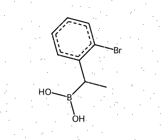 CC(B(O)O)c1ccccc1Br